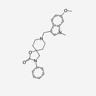 COc1ccc2c(CN3CCC4(CC3)CN(c3ccccc3)C(=O)O4)cn(C)c2c1